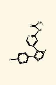 C=C(/C=C(\C=C/N)c1c(-c2ccc(F)cc2)ncn1C)NC(N)=O